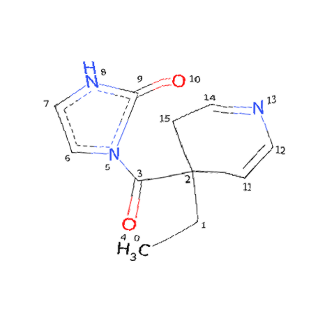 CCC1(C(=O)n2cc[nH]c2=O)C=CN=CC1